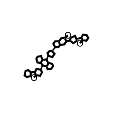 c1ccc2c(c1)oc1ccc(-c3c4ccccc4c(-c4ccc(-c5ccc6cc7oc8cc9c(cc8c7cc6c5)oc5ccccc59)cc4)c4ccccc34)cc12